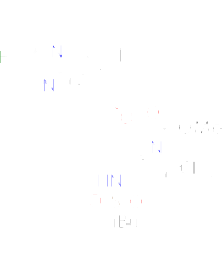 CCC(C)S(=O)(=O)N[C@H]1C[C@@H](C)N(C(=O)OC)[C@H]1CO[C@H]1CC[C@@]2(c3ncc(F)cn3)C[C@H]2C1